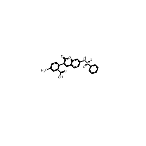 Cc1ccc(-c2cc3ccc(NS(=O)(=O)c4ccccc4)cc3oc2=O)c(C(=O)O)c1